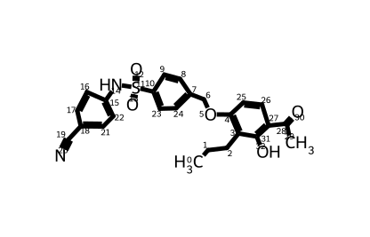 CCCc1c(OCc2ccc(S(=O)(=O)Nc3ccc(C#N)cc3)cc2)ccc(C(C)=O)c1O